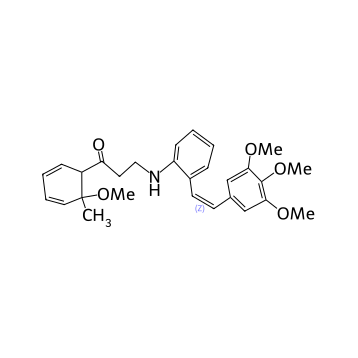 COc1cc(/C=C\c2ccccc2NCCC(=O)C2C=CC=CC2(C)OC)cc(OC)c1OC